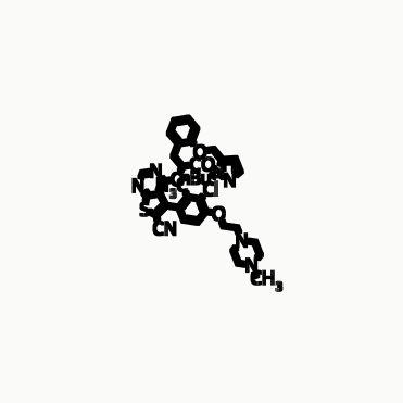 CCCCn1nccc1COc1ccccc1CC(Oc1ncnc2sc(C#N)c(-c3ccc(OCCN4CCN(C)CC4)c(Cl)c3C)c12)C(=O)O